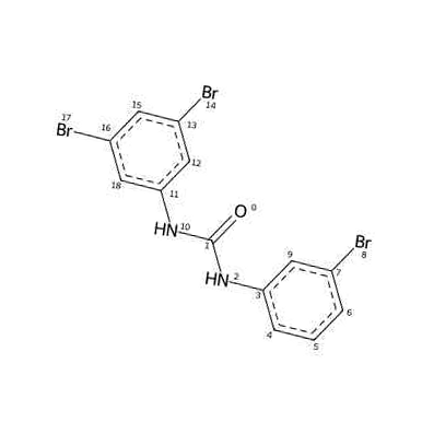 O=C(Nc1cccc(Br)c1)Nc1cc(Br)cc(Br)c1